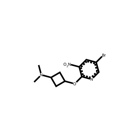 CN(C)C1CC(Oc2ncc(Br)cc2[N+](=O)[O-])C1